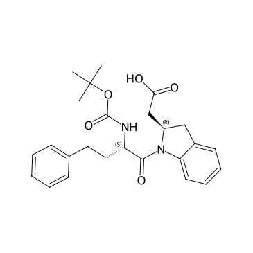 CC(C)(C)OC(=O)N[C@@H](CCc1ccccc1)C(=O)N1c2ccccc2C[C@@H]1CC(=O)O